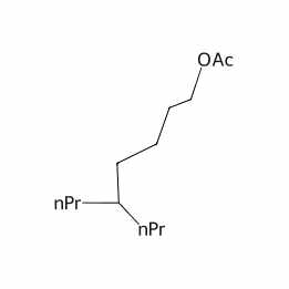 CCCC(CCC)CCCCOC(C)=O